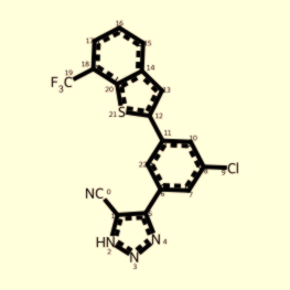 N#Cc1[nH]nnc1-c1cc(Cl)cc(-c2cc3cccc(C(F)(F)F)c3s2)c1